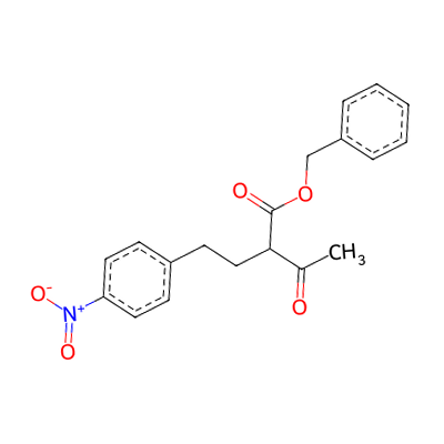 CC(=O)C(CCc1ccc([N+](=O)[O-])cc1)C(=O)OCc1ccccc1